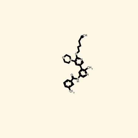 C#CCCCCOc1ncc(-c2cc(NC(=O)c3cccc(C(F)(F)F)c3)cnc2C)cc1N1CCOCC1